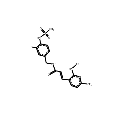 CCNc1nc(C(F)(F)F)ccc1/C=C/C(=O)NCc1ccc(NS(C)(=O)=O)c(F)c1